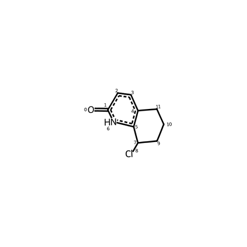 O=c1ccc2c([nH]1)C(Cl)CCC2